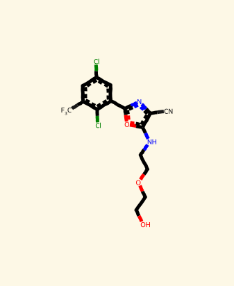 N#Cc1nc(-c2cc(Cl)cc(C(F)(F)F)c2Cl)oc1NCCOCCO